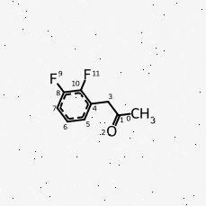 CC(=O)Cc1cccc(F)c1F